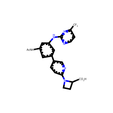 CC(=O)Nc1cc(Nc2nccc(C(F)(F)F)n2)cc(-c2ccc(N3CCC3C(=O)O)nc2)c1